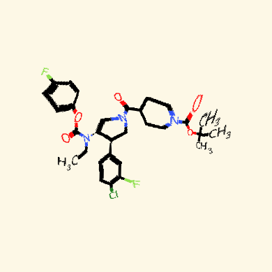 CCN(C(=O)Oc1ccc(F)cc1)[C@@H]1CN(C(=O)C2CCN(C(=O)OC(C)(C)C)CC2)C[C@H]1c1ccc(Cl)c(F)c1